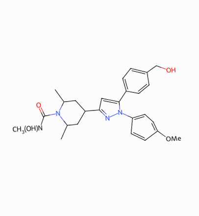 COc1ccc(-n2nc(C3CC(C)N(C(=O)N(C)O)C(C)C3)cc2-c2ccc(CO)cc2)cc1